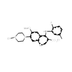 CCOC(=O)c1cnc2cc(N3CCN(CC)CC3)c(OC)cc2c1Nc1cc(C)ccc1F